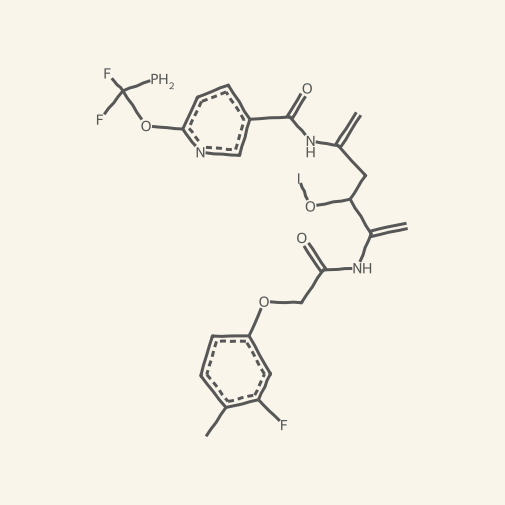 C=C(CC(OI)C(=C)NC(=O)COc1ccc(C)c(F)c1)NC(=O)c1ccc(OC(F)(F)P)nc1